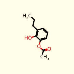 CCCc1cccc(OC(C)=O)c1O